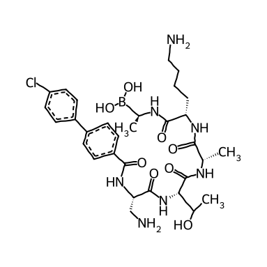 CC(O)[C@H](NC(=O)[C@H](CN)NC(=O)c1ccc(-c2ccc(Cl)cc2)cc1)C(=O)N[C@@H](C)C(=O)N[C@@H](CCCCN)C(=O)N[C@@H](C)B(O)O